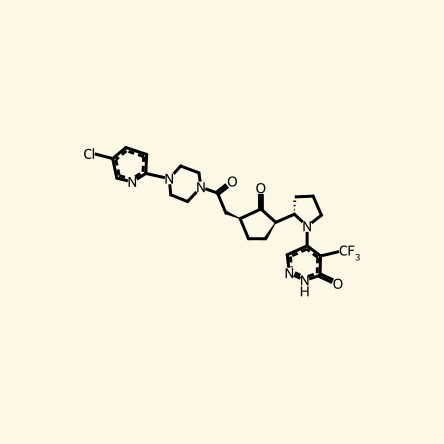 O=C1[C@H](CC(=O)N2CCN(c3ccc(Cl)cn3)CC2)CC[C@@H]1[C@@H]1CCCN1c1cn[nH]c(=O)c1C(F)(F)F